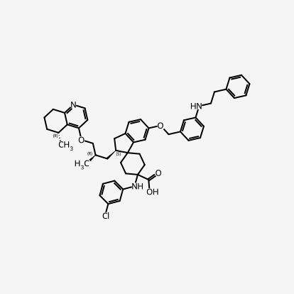 C[C@@H](COc1ccnc2c1[C@H](C)CCC2)C[C@H]1Cc2ccc(OCc3cccc(NCCc4ccccc4)c3)cc2C12CCC(Nc1cccc(Cl)c1)(C(=O)O)CC2